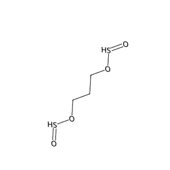 O=[SH]OCCCO[SH]=O